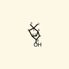 CC1(C)CC2CC1CC2O